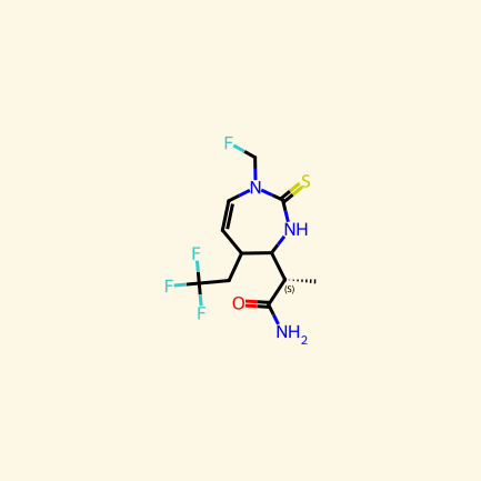 C[C@H](C(N)=O)C1NC(=S)N(CF)C=CC1CC(F)(F)F